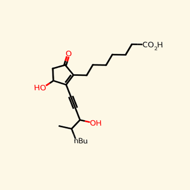 CCCCC(C)C(O)C#CC1=C(CCCCCCC(=O)O)C(=O)CC1O